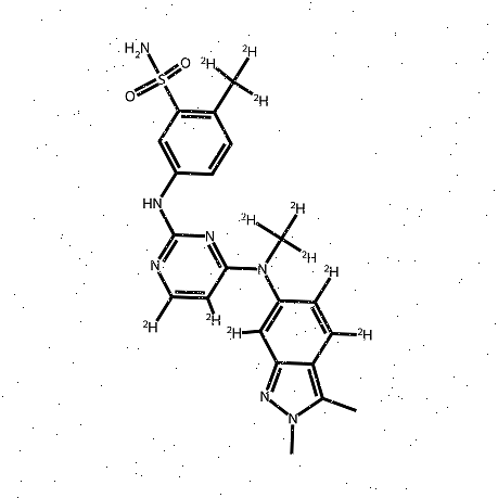 [2H]c1nc(Nc2ccc(C([2H])([2H])[2H])c(S(N)(=O)=O)c2)nc(N(c2c([2H])c([2H])c3c(C)n(C)nc3c2[2H])C([2H])([2H])[2H])c1[2H]